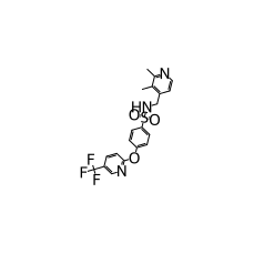 Cc1nccc(CNS(=O)(=O)c2ccc(Oc3ccc(C(F)(F)F)cn3)cc2)c1C